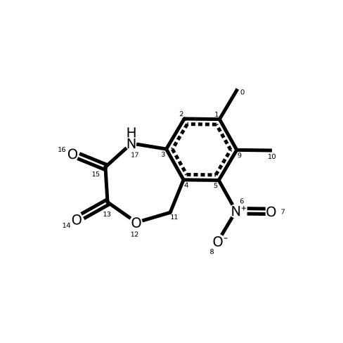 Cc1cc2c(c([N+](=O)[O-])c1C)COC(=O)C(=O)N2